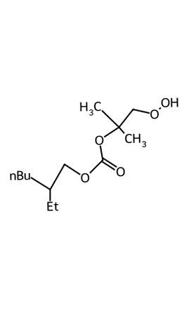 CCCCC(CC)COC(=O)OC(C)(C)COO